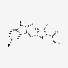 Cc1[nH]c(/C=C2\C(=O)Nc3ccc(F)cc32)nc1C(=O)N(C)C